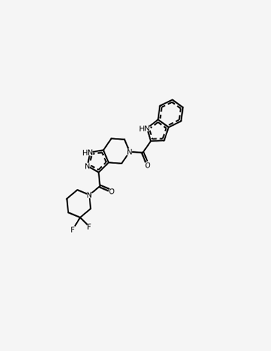 O=C(c1cc2ccccc2[nH]1)N1CCc2[nH]nc(C(=O)N3CCCC(F)(F)C3)c2C1